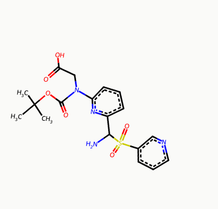 CC(C)(C)OC(=O)N(CC(=O)O)c1cccc(C(N)S(=O)(=O)c2cccnc2)n1